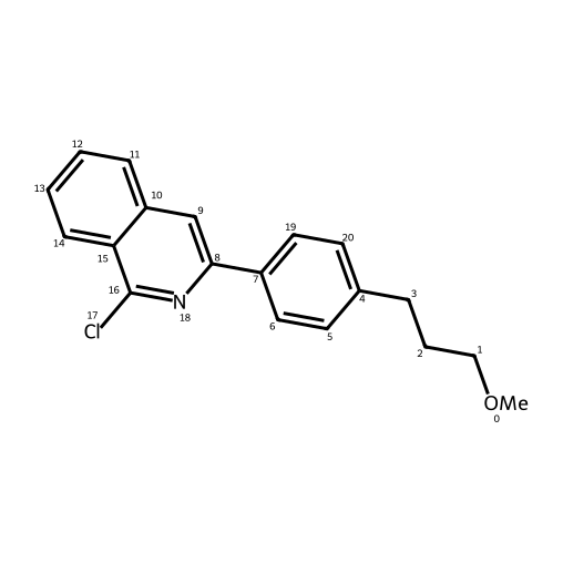 COCCCc1ccc(-c2cc3ccccc3c(Cl)n2)cc1